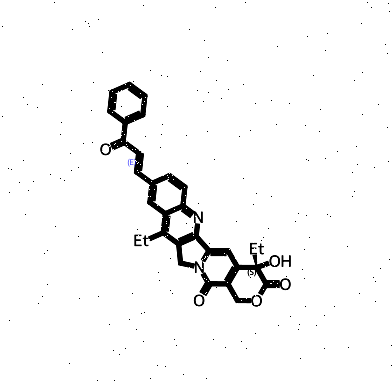 CCc1c2c(nc3ccc(/C=C/C(=O)c4ccccc4)cc13)-c1cc3c(c(=O)n1C2)COC(=O)[C@]3(O)CC